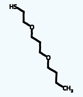 CCCCOCCCOCCS